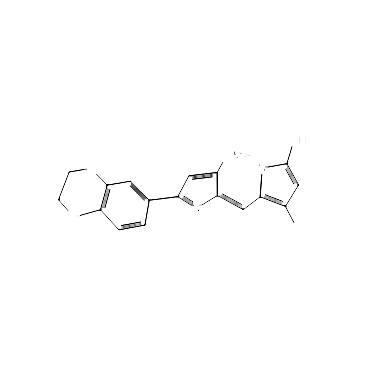 COC1=CC(c2ccc3c(c2)OCCO3)=N/C1=C/c1[nH]c(C)cc1C